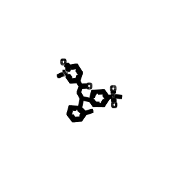 Cc1ccccc1C(CC(=O)c1ccc(=O)n(C)c1)c1ccc(S(C)(=O)=O)cc1